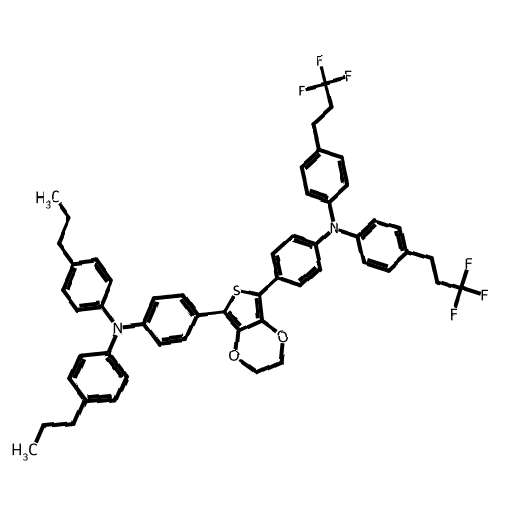 CCCc1ccc(N(c2ccc(CCC)cc2)c2ccc(-c3sc(-c4ccc(N(c5ccc(CCC(F)(F)F)cc5)c5ccc(CCC(F)(F)F)cc5)cc4)c4c3OCCO4)cc2)cc1